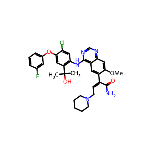 COc1cc2ncnc(Nc3cc(Cl)c(Oc4cccc(F)c4)cc3C(C)(C)O)c2cc1C(=CCN1CCCCC1)C(N)=O